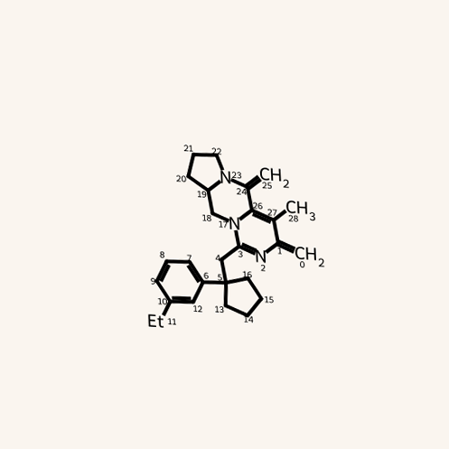 C=C1N=C(CC2(c3cccc(CC)c3)CCCC2)N2CC3CCCN3C(=C)C2=C1C